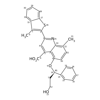 Cc1c(-c2cc(C(=O)O)c3c(O[C@H](CCO)c4ccccc4)ccc(C)c3n2)sc2ccccc12